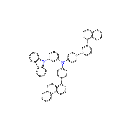 c1cc(-c2ccc(N(c3ccc(-c4cccc5c4ccc4ccccc45)cc3)c3cccc(-n4c5ccccc5c5ccccc54)c3)cc2)cc(-c2cccc3ccccc23)c1